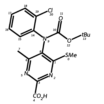 CSc1nc(C(=O)O)nc(C)c1N(C(=O)OC(C)(C)C)c1ccccc1Cl